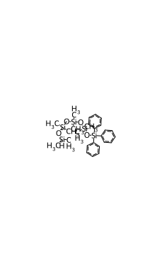 C[SiH](C)O[Si](C)(C)O[Si](C)(C)O[Si](C)(C)O[Si](c1ccccc1)(c1ccccc1)c1ccccc1